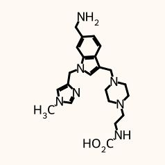 Cn1cnc(Cn2cc(CN3CCN(CCNC(=O)O)CC3)c3ccc(CN)cc32)c1